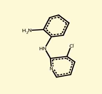 Nc1ccccc1Nc1ncccc1Cl